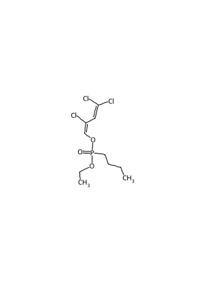 CCCCP(=O)(O/C=C(/Cl)C=C(Cl)Cl)OCC